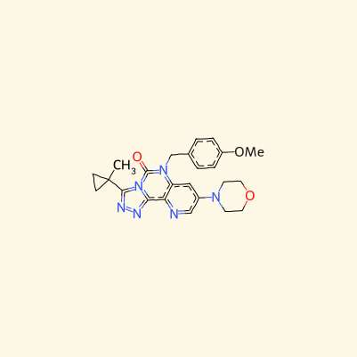 COc1ccc(Cn2c(=O)n3c(C4(C)CC4)nnc3c3ncc(N4CCOCC4)cc32)cc1